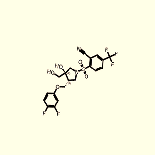 N#Cc1cc(C(F)(F)F)ccc1S(=O)(=O)N1C[C@H](COc2ccc(F)c(F)c2)[C@](O)(CO)C1